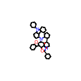 c1ccc(-c2nc3cc(N(c4ccccc4-c4ccccc4)c4cccc5c4c4ccccc4n5-c4ccccc4)c4oc5ccccc5c4c3o2)cc1